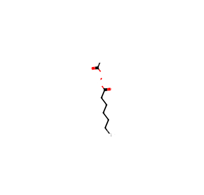 CCC(=O)OOC(=O)CCCCCC(C)C